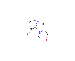 Clc1cccnc1N1CCOCC1.[K]